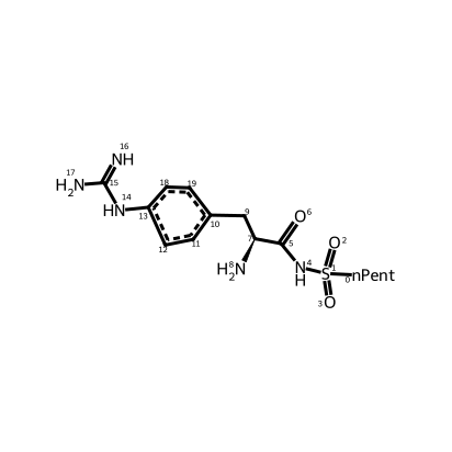 CCCCCS(=O)(=O)NC(=O)[C@@H](N)Cc1ccc(NC(=N)N)cc1